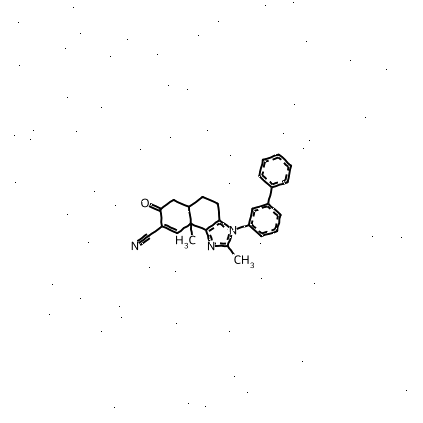 Cc1nc2c(n1-c1cccc(-c3ccccc3)c1)CCC1CC(=O)C(C#N)=CC21C